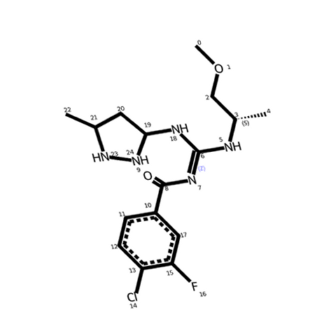 COC[C@H](C)N/C(=N/C(=O)c1ccc(Cl)c(F)c1)NC1CC(C)NN1